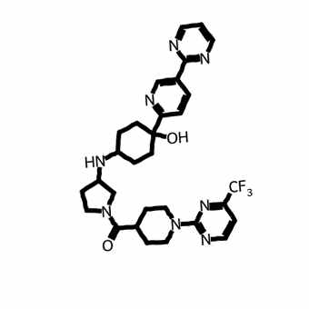 O=C(C1CCN(c2nccc(C(F)(F)F)n2)CC1)N1CCC(NC2CCC(O)(c3ccc(-c4ncccn4)cn3)CC2)C1